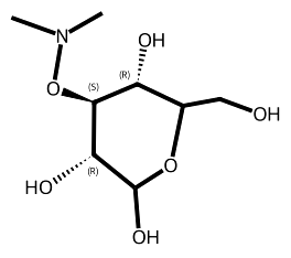 CN(C)O[C@H]1[C@H](O)C(CO)OC(O)[C@@H]1O